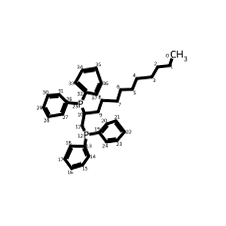 CCCCCCCCCCC(CP(c1ccccc1)c1ccccc1)P(c1ccccc1)c1ccccc1